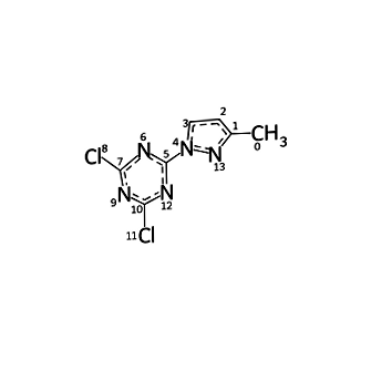 Cc1ccn(-c2nc(Cl)nc(Cl)n2)n1